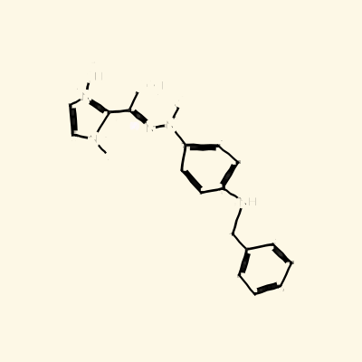 CCOC(=O)/C(=N\N(C)c1ccc(NCc2ccccc2)cc1)c1n(C)cc[n+]1C